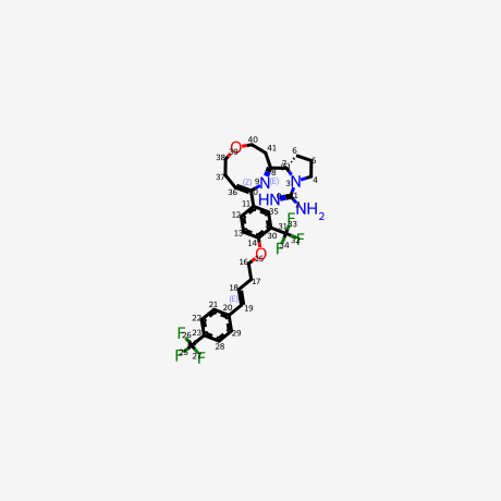 N=C(N)N1CCC[C@H]1/C1=N/C(c2ccc(OCC/C=C/c3ccc(C(F)(F)F)cc3)c(C(F)(F)F)c2)=C\CCOCC1